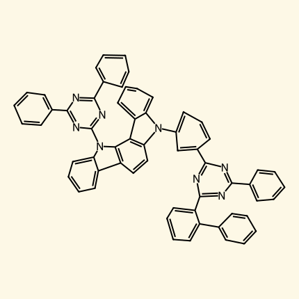 c1ccc(-c2nc(-c3cccc(-n4c5ccccc5c5c4ccc4c6ccccc6n(-c6nc(-c7ccccc7)nc(-c7ccccc7)n6)c45)c3)nc(-c3ccccc3-c3ccccc3)n2)cc1